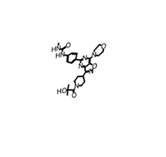 CNC(=O)Nc1ccc(-c2nc(N3CCOCC3)c3onc(C4CCN(C(=O)C(C)(C)O)CC4)c3n2)cc1